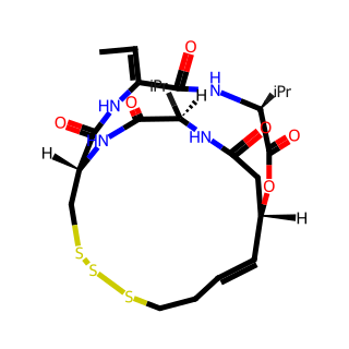 C/C=C1\NC(=O)[C@H]2CSSSCC/C=C/[C@H](CC(=O)N[C@H](C(C)C)C(=O)N2)OC(=O)[C@H](C(C)C)NC1=O